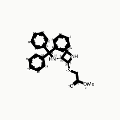 COC(=O)CS[C@@H]1NC(=O)[C@H]1NC(c1ccccc1)(c1ccccc1)c1ccccc1